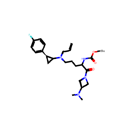 C=CCN(CCCC(NC(=O)OC(C)(C)C)C(=O)N1CC(N(C)C)C1)C1C[C@H]1c1ccc(F)cc1